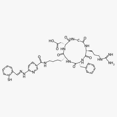 N=C(N)NCCC[C@@H]1NC(=O)CNC(=O)[C@@H](CC(=O)O)NC(=O)[C@@H](CCCCNC(=O)c2ccc(NN=Cc3ccccc3S)nc2)NC(=O)[C@@H](Cc2ccccc2)NC1=O